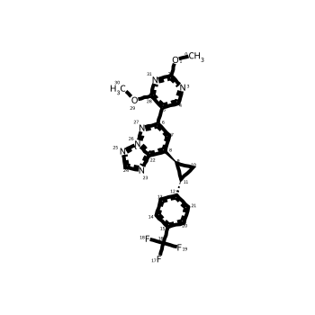 COc1ncc(-c2cc([C@H]3C[C@@H]3c3ccc(C(F)(F)F)cc3)c3ncnn3n2)c(OC)n1